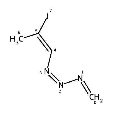 C=N/N=N\C=C(/C)I